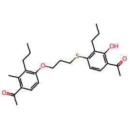 CCCc1c(OCCCSc2ccc(C(C)=O)c(O)c2CCC)ccc(C(C)=O)c1C